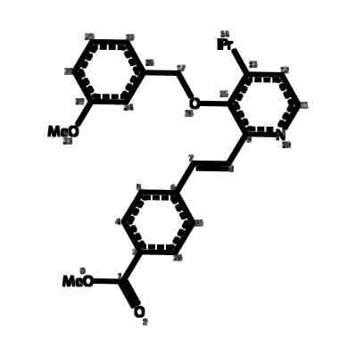 COC(=O)c1ccc(/C=C/c2nccc(C(C)C)c2OCc2cccc(OC)c2)cc1